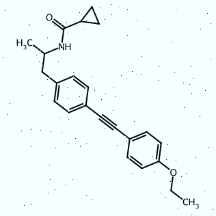 CCOc1ccc(C#Cc2ccc(CC(C)NC(=O)C3CC3)cc2)cc1